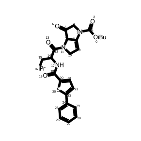 CC(C)COC(=O)N1CC(=O)C2C1=CCN2C(=O)C(CC(C)C)NC(=O)c1ccc(-c2ccccc2)s1